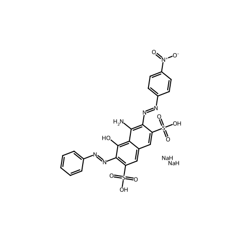 Nc1c(N=Nc2ccc([N+](=O)[O-])cc2)c(S(=O)(=O)O)cc2cc(S(=O)(=O)O)c(N=Nc3ccccc3)c(O)c12.[NaH].[NaH]